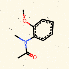 COc1cc[c]cc1N(C)C(C)=O